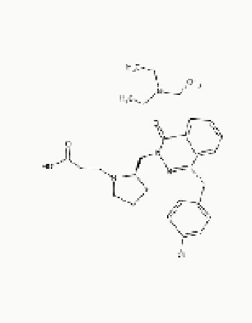 CCN(CC)CC.O=C(O)CCN1CCC[C@@H]1Cn1nc(Cc2ccc(Cl)cc2)c2ccccc2c1=O